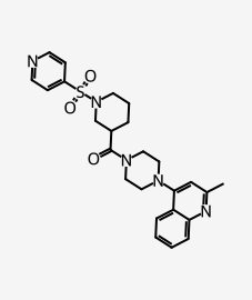 Cc1cc(N2CCN(C(=O)C3CCCN(S(=O)(=O)c4ccncc4)C3)CC2)c2ccccc2n1